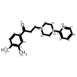 Cc1ccc(C(=O)CCN2CCN(c3ccccn3)CC2)cc1C